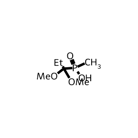 CCC(OC)(OC)P(C)(=O)O